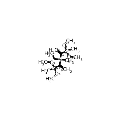 C=C([Si](C)(OC)OC)[Si](C)(CC)C(=C)[Si](C)(OC)OC